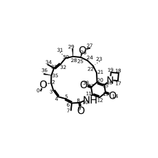 CO[C@H]1/C=C\C=C(/C)C(=O)NC2=CC(=O)C(N3CCC3)=C(C[C@@H](C)C[C@H](OC)[C@H](C)[C@@H](C)/C=C(\C)[C@@H]1C)C2=O